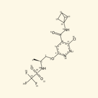 C[C@@H](COc1cc(C(=O)NC23CC(C2)C3)c(Cl)nn1)NS(=O)(=O)C(F)(F)F